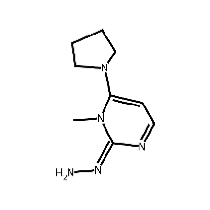 Cn1c(N2CCCC2)ccnc1=NN